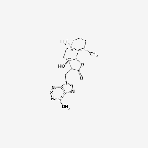 CC1=C2C3OC(=O)C(Cn4cnc5c(N)ncnc54)[C@]3(O)CC[C@@]2(C)CCC1